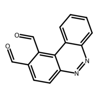 O=Cc1ccc2nnc3ccccc3c2c1C=O